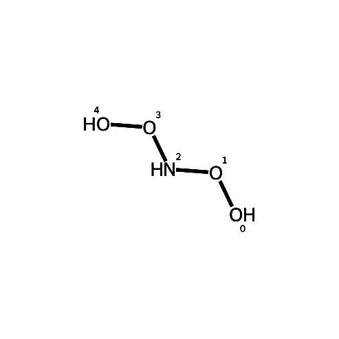 OONOO